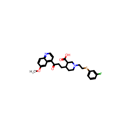 COc1ccc2nccc(C(=O)CCC3CCN(CCSc4cccc(F)c4)CC3C(=O)O)c2c1